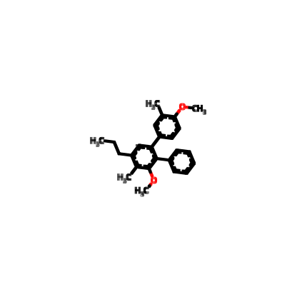 CCCc1[c]c(-c2ccc(OC)c(C)c2)c(-c2ccccc2)c(OC)c1C